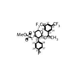 COS(=O)(=O)C[C@@H]1CCO[C@H](O[C@H](C)c2cc(C(F)(F)F)cc(C(F)(F)F)c2)[C@H]1c1ccc(F)cc1